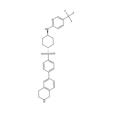 O=S(=O)(c1ccc(-c2ccc3c(c2)CCNC3)cc1)[C@H]1CC[C@H](Nc2ccc(C(F)(F)F)cn2)CC1